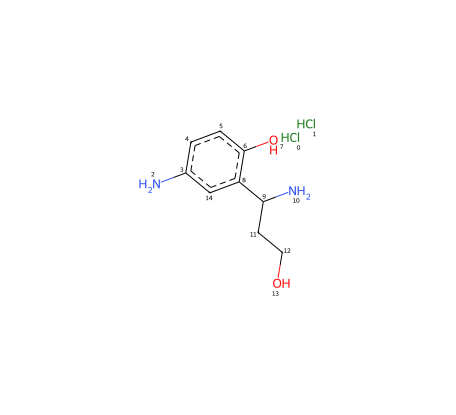 Cl.Cl.Nc1ccc(O)c(C(N)CCO)c1